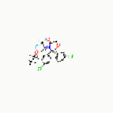 CC(C)(C)[Si](C)(C)OC[C@H](N1C(=O)CO[C@H](c2cccc(Cl)c2)[C@H]1c1ccc(Cl)cc1)C(F)(F)F